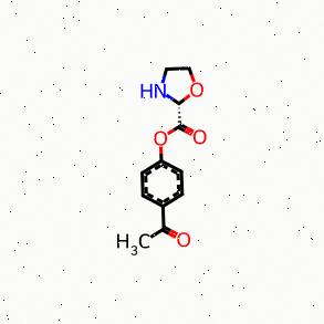 CC(=O)c1ccc(OC(=O)[C@@H]2NCCO2)cc1